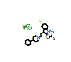 C[C@@H]1Nc2ccc(F)cc2[C@@H]1CCN1CCC(c2ccccc2)CC1.Cl.Cl